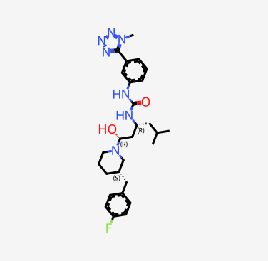 CC(C)C[C@H](C[C@@H](O)N1CCC[C@@H](Cc2ccc(F)cc2)C1)NC(=O)Nc1cccc(-c2nnnn2C)c1